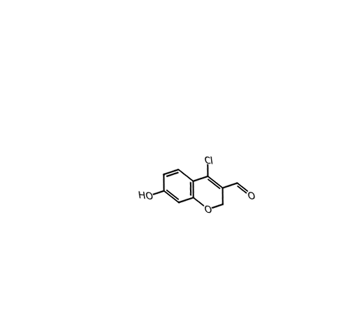 O=CC1=C(Cl)c2ccc(O)cc2OC1